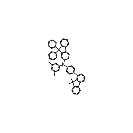 Cc1cc(C)cc(N(c2ccc(-c3cccc4c3C(C)(C)c3ccccc3-4)cc2)c2ccc3c(c2)C(c2ccccc2)(c2ccccc2)c2ccccc2-3)c1